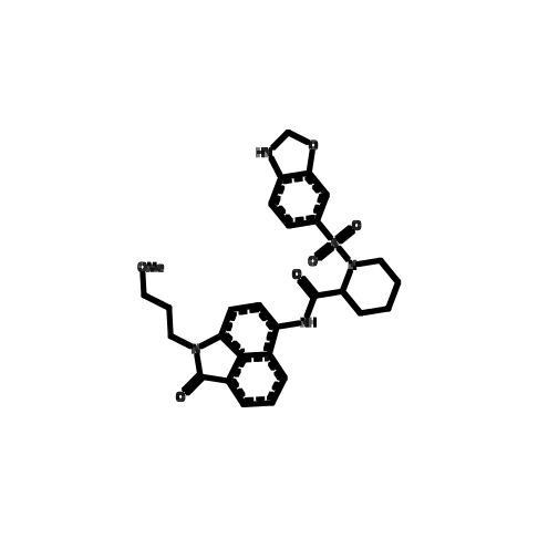 COCCCN1C(=O)c2cccc3c(NC(=O)C4CCCCN4S(=O)(=O)c4ccc5c(c4)OCN5)ccc1c23